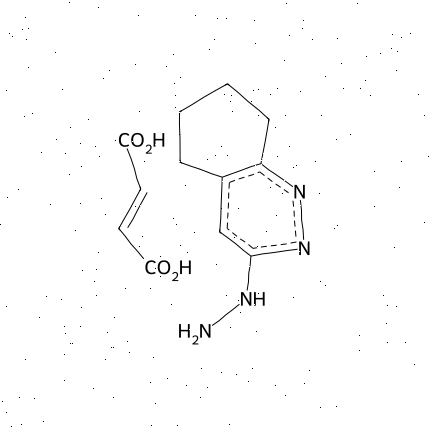 NNc1cc2c(nn1)CCCC2.O=C(O)/C=C/C(=O)O